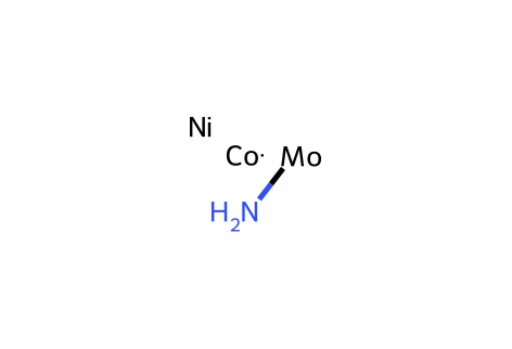 [Co].[NH2][Mo].[Ni]